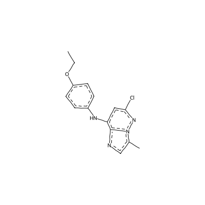 CCOc1ccc(Nc2cc(Cl)nn3c(C)cnc23)cc1